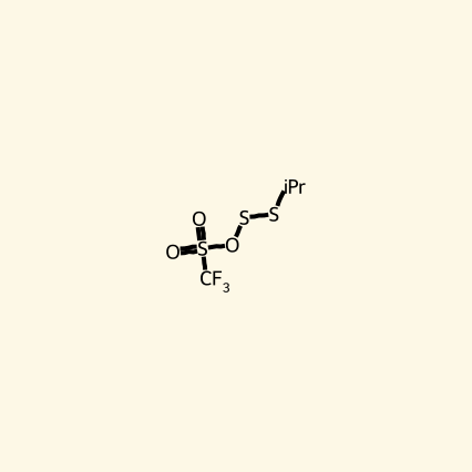 CC(C)SSOS(=O)(=O)C(F)(F)F